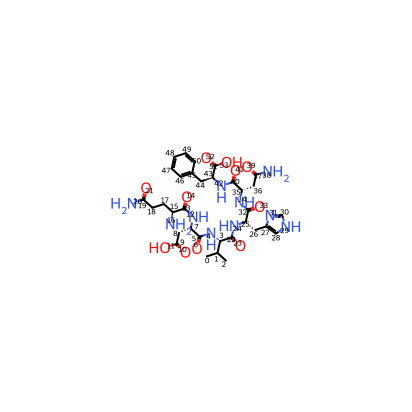 CC(C)[C@H](NC(=O)[C@H](CC(=O)O)NC(=O)[C@@H](N)CCC(N)=O)C(=O)N[C@@H](Cc1c[nH]cn1)C(=O)N[C@@H](CC(N)=O)C(=O)N[C@@H](Cc1ccccc1)C(=O)O